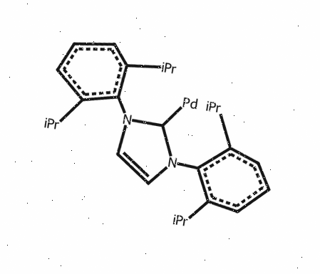 CC(C)c1cccc(C(C)C)c1N1C=CN(c2c(C(C)C)cccc2C(C)C)[CH]1[Pd]